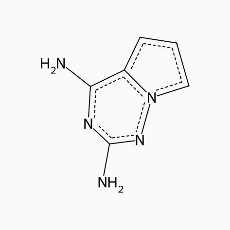 Nc1nc(N)c2cccn2n1